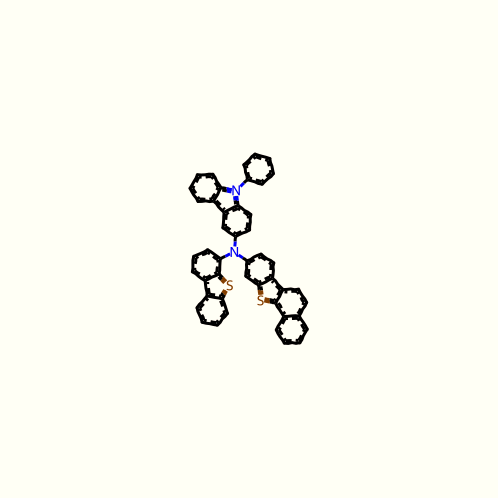 c1ccc(-n2c3ccccc3c3cc(N(c4ccc5c(c4)sc4c6ccccc6ccc54)c4cccc5c4sc4ccccc45)ccc32)cc1